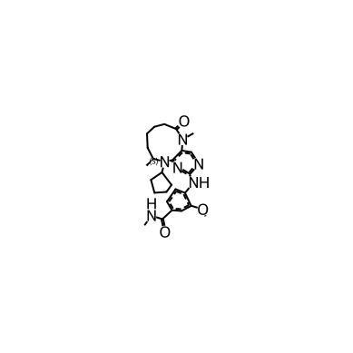 CNC(=O)c1ccc(Nc2ncc3c(n2)N(C2CCCC2)[C@@H](C)CCCCC(=O)N3C)c(OC)c1